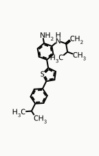 C=C(Nc1cc(-c2ccc(-c3ccc(C(C)C)cc3)s2)ccc1N)C(C)C